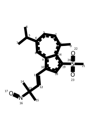 Cc1ccc(C(C)C)cc2c(C=CC(C)(C)N=O)cc(S(C)(=O)=O)c1-2